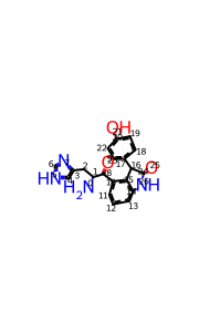 N[C@@H](Cc1c[nH]cn1)C(=O)c1cccc2c1C(c1ccc(O)cc1)C(=O)N2